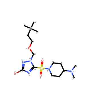 CN(C)C1CCN(S(=O)(=O)c2nc(Br)nn2COCC[Si](C)(C)C)CC1